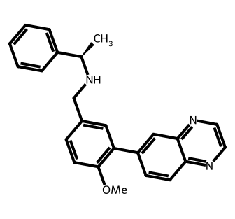 COc1ccc(CN[C@H](C)c2ccccc2)cc1-c1ccc2nccnc2c1